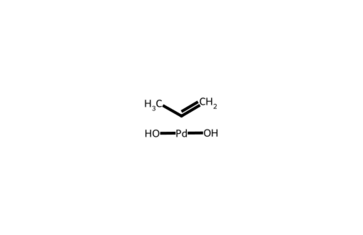 C=CC.[OH][Pd][OH]